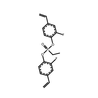 C=Cc1ccc(OP(=O)(CC)Oc2ccc(C=C)cc2F)c(F)c1